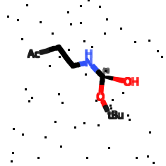 CC(=O)CCN[C@@H](O)OC(C)(C)C